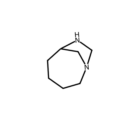 C1CCN2CNC(C1)C2